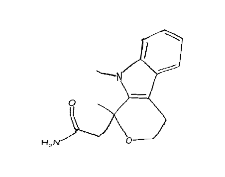 Cn1c2c(c3ccccc31)CCOC2(C)CC(N)=O